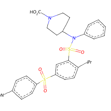 CNc1ccc(S(=O)(=O)c2ccc(C(C)C)c(S(=O)(=O)N(c3ccccc3)C3CCN(C(=O)O)CC3)c2)cc1